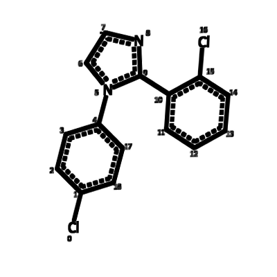 Clc1ccc(-n2c[c]nc2-c2ccccc2Cl)cc1